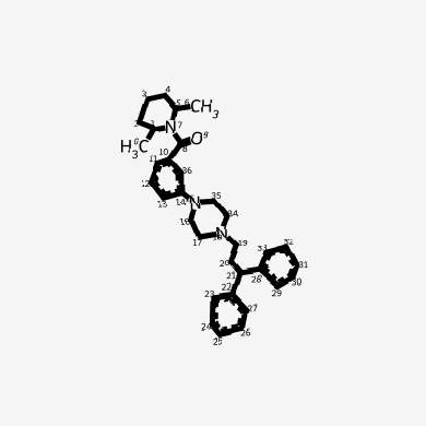 CC1CCCC(C)N1C(=O)c1cccc(N2CCN(CCC(c3ccccc3)c3ccccc3)CC2)c1